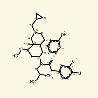 COC1C[C@H](N(CC(C)C)C(=O)Cc2ccc(Cl)c(Cl)c2)C[C@]2(c3cccc(O)c3)CCN(CC3CC3)C[C@@H]12